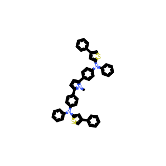 Cn1c(-c2ccc(N(c3ccccc3)c3cc(-c4ccccc4)cs3)cc2)ccc1-c1ccc(N(c2ccccc2)c2cc(-c3ccccc3)cs2)cc1